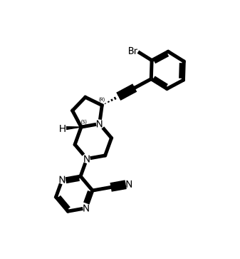 N#Cc1nccnc1N1CCN2[C@@H](CC[C@@H]2C#Cc2ccccc2Br)C1